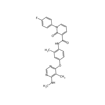 CNc1ncnc(Oc2ccc(NC(=O)c3cccn(-c4ccc(F)cc4)c3=O)c(C)c2)c1C